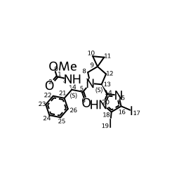 COC(=O)N[C@H](C(=O)N1CC2(CC2)C[C@H]1c1nc(I)c(I)[nH]1)c1ccccc1